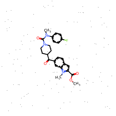 COC(=O)c1cc2ccc(C(=O)C3CCN(C(=O)N(C)c4ccc(F)cc4)CC3)cc2n1C